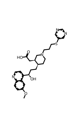 COc1ccc2nccc([C@H](O)CC[C@@H]3CCN(CCCSc4cncnc4)C[C@@H]3CC(=O)O)c2c1